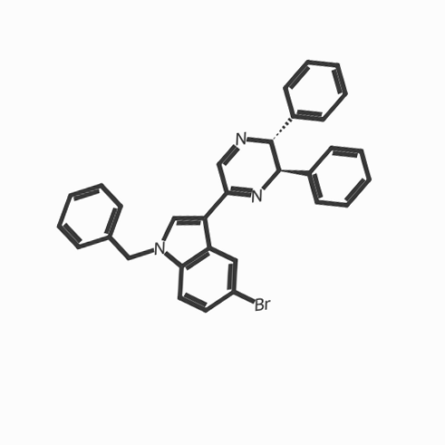 Brc1ccc2c(c1)c(C1=N[C@H](c3ccccc3)[C@@H](c3ccccc3)N=C1)cn2Cc1ccccc1